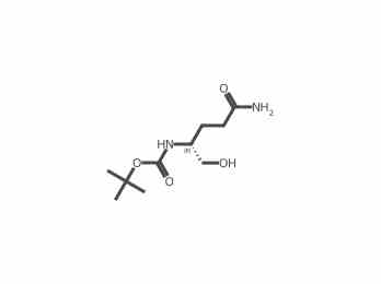 CC(C)(C)OC(=O)N[C@@H](CO)CCC(N)=O